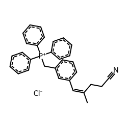 CC(=Cc1cccc(C[P+](c2ccccc2)(c2ccccc2)c2ccccc2)c1)CCC#N.[Cl-]